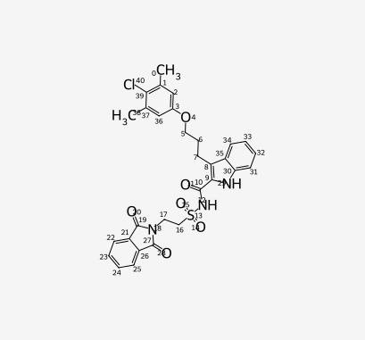 Cc1cc(OCCCc2c(C(=O)NS(=O)(=O)CCN3C(=O)c4ccccc4C3=O)[nH]c3ccccc23)cc(C)c1Cl